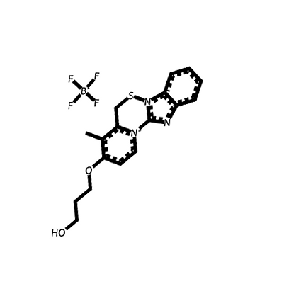 Cc1c(OCCCO)cc[n+]2c1CSn1c-2nc2ccccc21.F[B-](F)(F)F